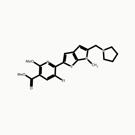 CCc1cc(C(=O)OC)c(OC)nc1-c1cc2cc(CN3CCCC3)n(C)c2s1